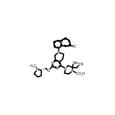 CN1CCC[C@H]1COc1nc2c(c(N3CCN(C(=O)O)C(CC#N)(C(C)(C)C)C3)n1)CCN(c1cccc3ccc(Cl)cc13)C2